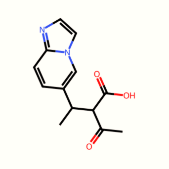 CC(=O)C(C(=O)O)C(C)c1ccc2nccn2c1